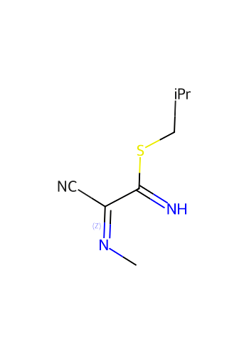 C/N=C(/C#N)C(=N)SCC(C)C